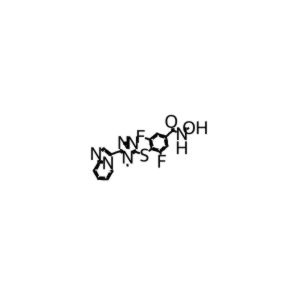 Cn1c(Sc2c(F)cc(C(=O)NO)cc2F)nnc1-c1cnc2ccccn12